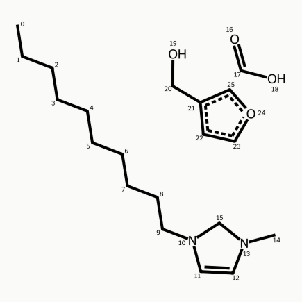 CCCCCCCCCCN1C=CN(C)C1.O=CO.OCc1ccoc1